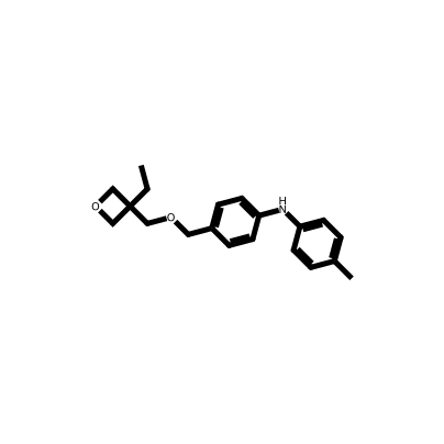 CCC1(COCc2ccc(Nc3ccc(C)cc3)cc2)COC1